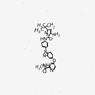 CNC(=O)c1cc(Oc2ccc3c(c2)ncn3-c2ccc(NC(=O)n3nc(C(C)(C)C)cc3N)cc2)ccn1